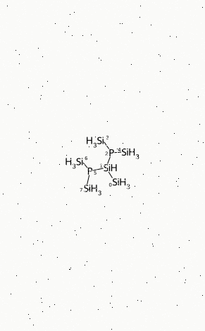 [SiH3][SiH](P([SiH3])[SiH3])P([SiH3])[SiH3]